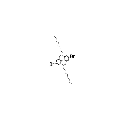 CCCCCCCC[C@@H]1Cc2cc(Br)cc3c2-c2c(cc(Br)cc21)C[C@@H]3CCCCCCCC